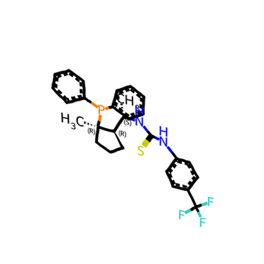 C[C@H](NC(=S)Nc1ccc(C(F)(F)F)cc1)[C@H]1CCC[C@@]1(C)P(c1ccccc1)c1ccccc1